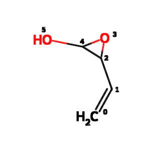 C=CC1OC1O